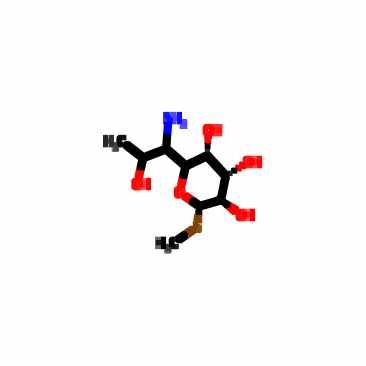 CS[C@H]1OC(C(N)C(C)O)[C@H](O)[C@H](O)[C@H]1O